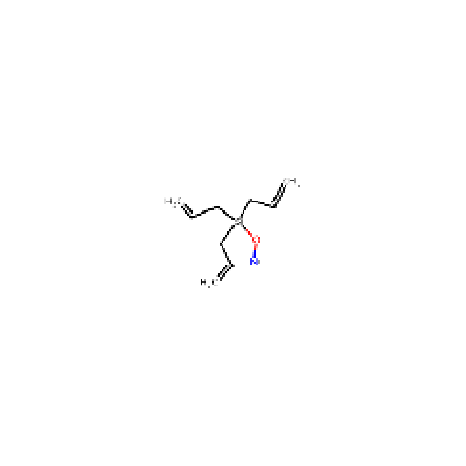 C=CC[Si](CC=C)(CC=C)O[N]